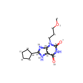 COCCCn1c(=O)[nH]c(=O)c2[nH]c(C3CCCC3)nc21